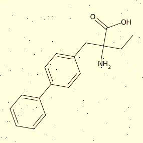 CCC(N)(Cc1ccc(-c2ccccc2)cc1)C(=O)O